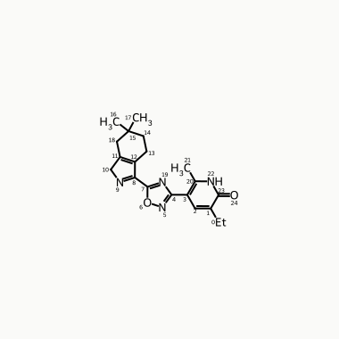 CCc1cc(-c2noc(C3=NCC4=C3CCC(C)(C)C4)n2)c(C)[nH]c1=O